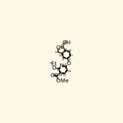 CCOc1nc(Oc2ccc3c(c2)COB3O)ccc1C(=O)OC